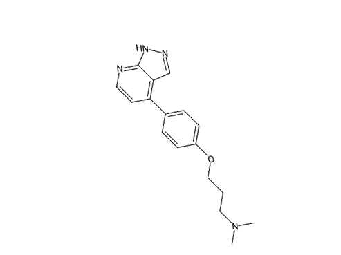 CN(C)CCCOc1ccc(-c2ccnc3[nH]ncc23)cc1